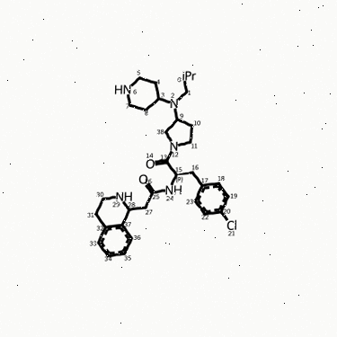 CC(C)CN(C1CCNCC1)C1CCN(C(=O)[C@@H](Cc2ccc(Cl)cc2)NC(=O)CC2NCCc3ccccc32)C1